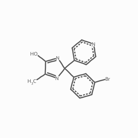 CC1=NC(c2ccncc2)(c2cccc(Br)c2)N=C1O